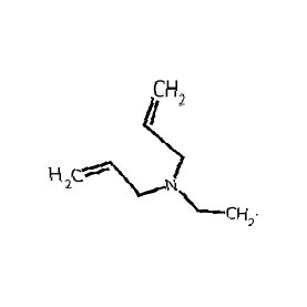 [CH2]CN(CC=C)CC=C